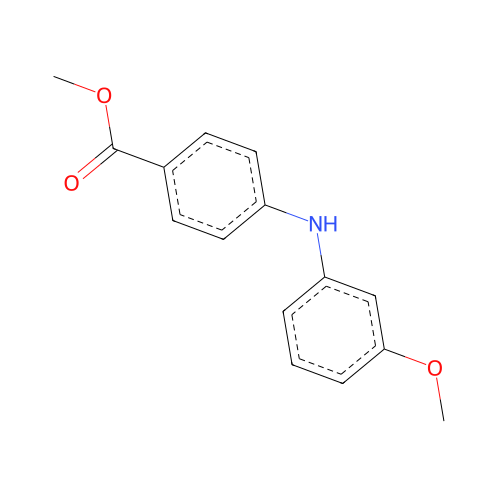 COC(=O)c1ccc(Nc2cccc(OC)c2)cc1